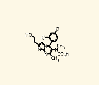 Cc1nc2nc(CCO)cn2c(-c2ccc(Cl)cc2Cl)c1N(C)C(=O)O